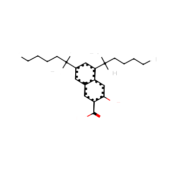 CCCCCC(C)(C)c1cc(C(C)(C)CCCCC)c2cc(O)c(C(=O)O)cc2c1